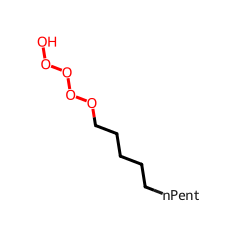 CCCCCCCCCCOOOOO